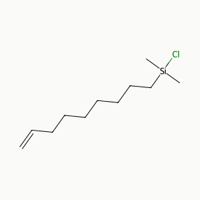 C=CCCCCCCC[Si](C)(C)Cl